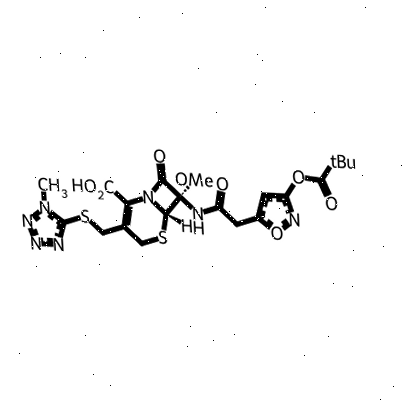 CO[C@@]1(NC(=O)Cc2cc(OC(=O)C(C)(C)C)no2)C(=O)N2C(C(=O)O)=C(CSc3nnnn3C)CS[C@H]21